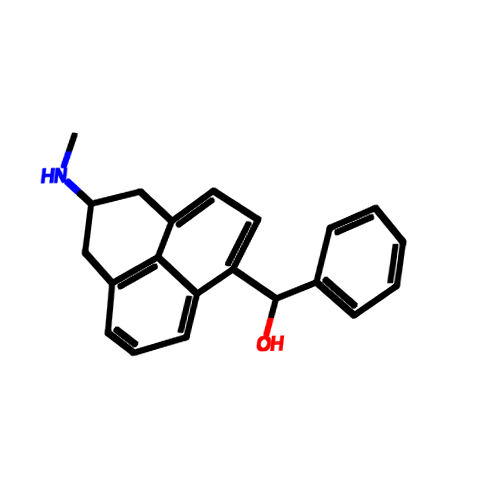 CNC1Cc2cccc3c(C(O)c4ccccc4)ccc(c23)C1